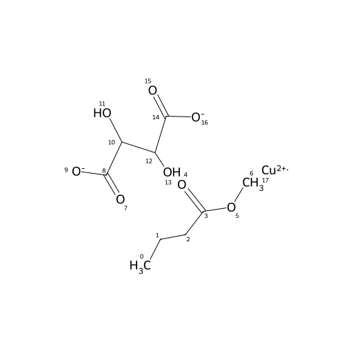 CCCC(=O)OC.O=C([O-])C(O)C(O)C(=O)[O-].[Cu+2]